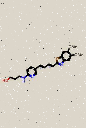 COc1cc2nc(/C=C/C=C/c3ccc(NCCCO)nc3)sc2cc1O[11CH3]